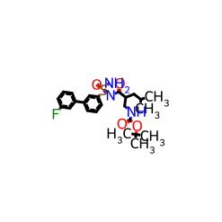 CC(C)CC(CNC(=O)OC(C)(C)C)C(=O)N=S(N)(=O)c1cccc(-c2cccc(F)c2)c1